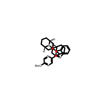 COc1cnc(-c2nc3ccccc3n2C2C[C@H]3CCC[C@@H](C2)N3C2CCC3CCC[C@@H]2C3)cn1